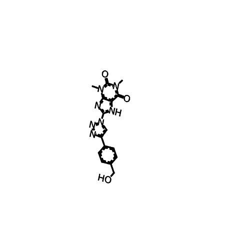 Cn1c(=O)c2[nH]c(-n3cc(-c4ccc(CO)cc4)nn3)nc2n(C)c1=O